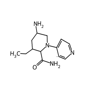 CCC1CC(N)CN(c2[c]cncc2)C1C(N)=O